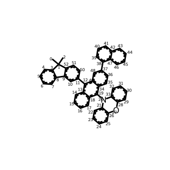 CC1(C)c2ccccc2-c2cc(-c3c4ccccc4c(N4c5ccccc5Oc5ccccc54)c4ccc(-c5cccc6ccccc56)cc34)ccc21